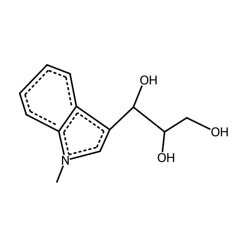 Cn1cc(C(O)C(O)CO)c2ccccc21